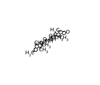 C=C1C=C2C[C@@H](C)C3C(C2CC1)[C@@H](C)C[C@@]1(C)C3CC[C@@H]1OC(=O)NCNC(=O)O[C@H]1CCC2C3C(C4CCC(=O)C=C4C[C@H]3C)[C@@H](C)C[C@@]21C